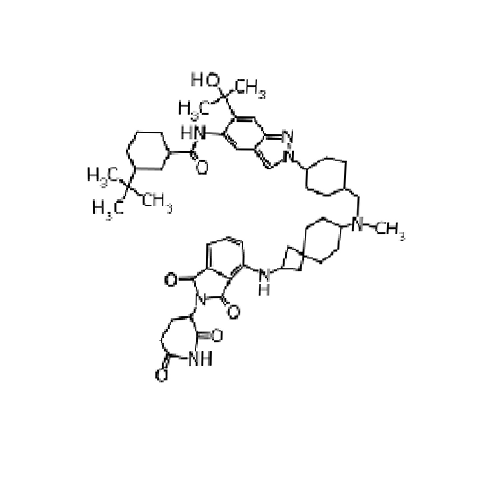 CN(CC1CCC(n2cc3cc(NC(=O)C4CCCC(C(C)(C)C)C4)c(C(C)(C)O)cc3n2)CC1)C1CCC2(CC1)CC(Nc1cccc3c1C(=O)N(C1CCC(=O)NC1=O)C3=O)C2